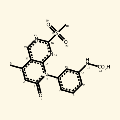 Cc1cc(=O)n(-c2cccc(NC(=O)O)c2)c2nc(S(C)(=O)=O)ncc12